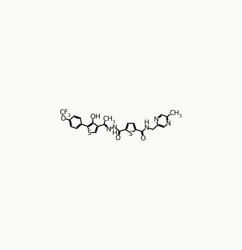 C/C(=N\NC(=O)c1ccc(C(=O)NCc2cnc(C)cn2)s1)c1csc(-c2ccc(OC(F)(F)F)cc2)c1O